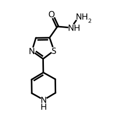 NNC(=O)c1cnc(C2=CCNCC2)s1